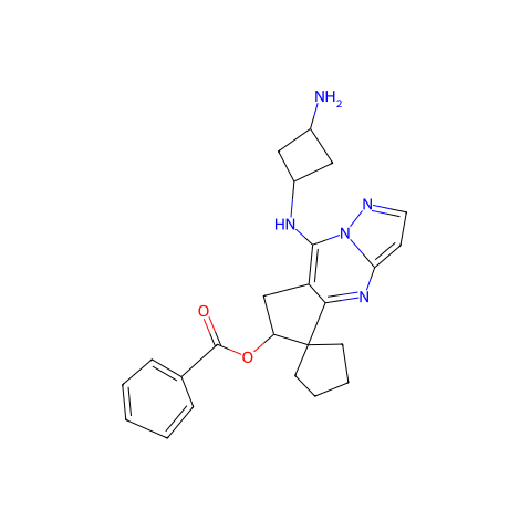 NC1CC(Nc2c3c(nc4ccnn24)C2(CCCC2)C(OC(=O)c2ccccc2)C3)C1